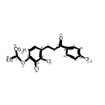 CCC(Oc1ccc(CCC(=O)c2ccc(C(F)(F)F)cc2)c(Cl)c1Cl)C(=O)O